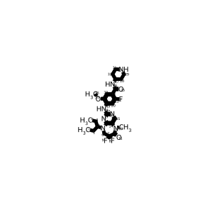 CCC(CC)N1CC(F)(F)C(=O)N(C)c2cnc(Nc3cc(F)c(C(=O)NC4CCNCC4)cc3OC)nc21